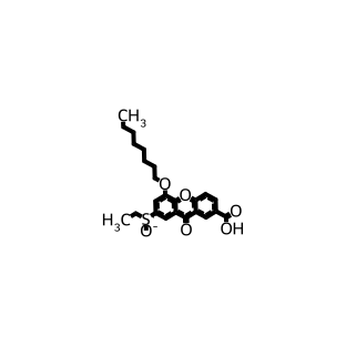 CCCCCCCCOc1cc([S+]([O-])CC)cc2c(=O)c3cc(C(=O)O)ccc3oc12